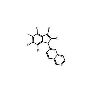 FC1=C(F)C(c2ccc3ccccc3c2)c2c(F)c(F)c(F)c(F)c21